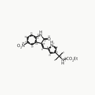 CCOC(=O)NC(C)(C)c1c[nH]c(C=C2C(=O)Nc3ccc([N+](=O)[O-])cc32)c1